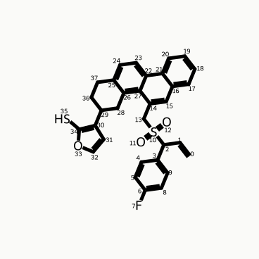 C=CC(c1ccc(F)cc1)S(=O)(=O)Cc1cc2ccccc2c2ccc3c(c12)CC(c1ccoc1S)CC3